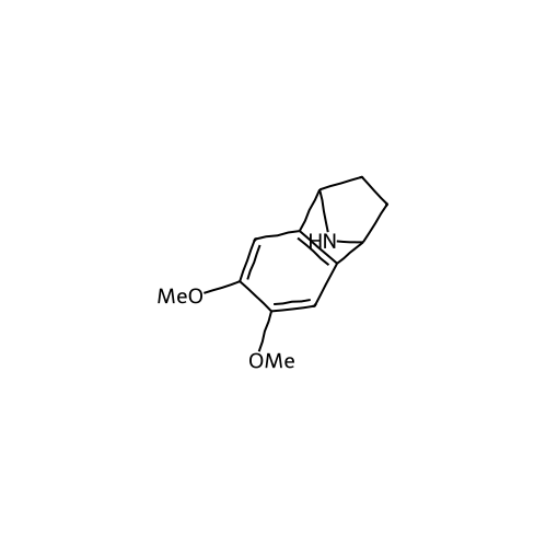 COc1cc2c(cc1OC)C1CCC2N1